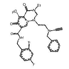 C#CN(CCN1CN(CC)C(=O)c2c(O)c(=O)c(C(=O)NCc3ccc(F)cc3F)cn21)Cc1ccccc1